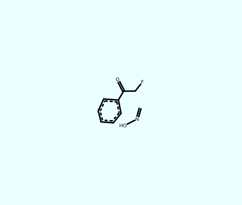 C=NO.O=C(CF)c1ccccc1